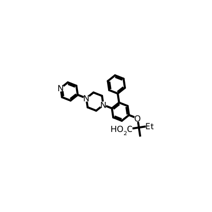 CCC(C)(Oc1ccc(N2CCN(c3ccncc3)CC2)c(-c2ccccc2)c1)C(=O)O